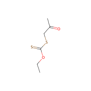 CCOC(=S)SCC(C)=O